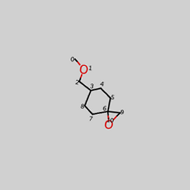 COCC1CCC2(CC1)CO2